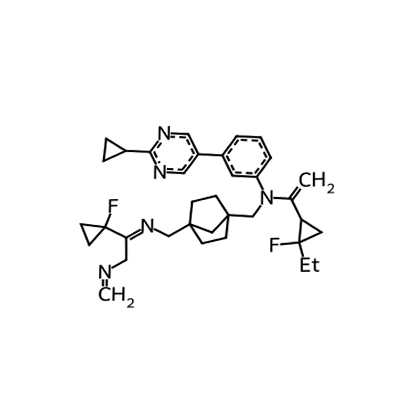 C=NC/C(=N\CC12CCC(CN(C(=C)C3CC3(F)CC)c3cccc(-c4cnc(C5CC5)nc4)c3)(CC1)C2)C1(F)CC1